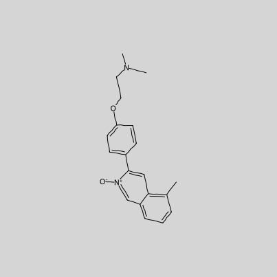 Cc1cccc2c[n+]([O-])c(-c3ccc(OCCN(C)C)cc3)cc12